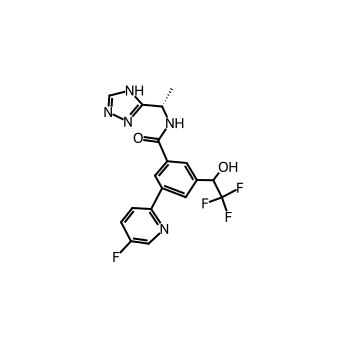 C[C@H](NC(=O)c1cc(-c2ccc(F)cn2)cc(C(O)C(F)(F)F)c1)c1nnc[nH]1